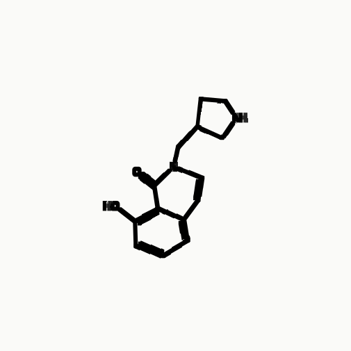 O=c1c2c(O)cccc2ccn1CC1CCNC1